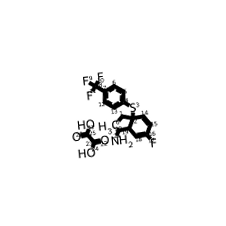 CCC1(Sc2ccc(C(F)(F)F)cc2)C=CC(F)=CC1CN.O=C(O)C(=O)O